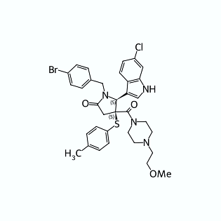 COCCN1CCN(C(=O)[C@]2(Sc3ccc(C)cc3)CC(=O)N(Cc3ccc(Br)cc3)[C@H]2c2c[nH]c3cc(Cl)ccc23)CC1